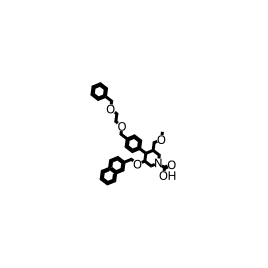 COCC1CN(C(=O)O)CC(OCc2ccc3ccccc3c2)C1c1ccc(COCCOCc2ccccc2)cc1